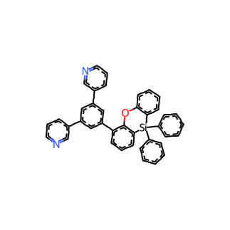 c1ccc([Si]2(c3ccccc3)c3ccccc3Oc3c(-c4cc(-c5cccnc5)cc(-c5cccnc5)c4)cccc32)cc1